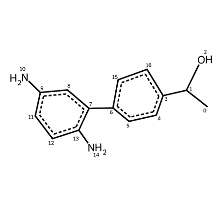 CC(O)c1ccc(-c2cc(N)ccc2N)cc1